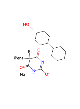 C1CCC(C2CCCCC2)CC1.CCCC(C)C1(CC)C(=O)N=C([O-])NC1=O.CO.[Na+]